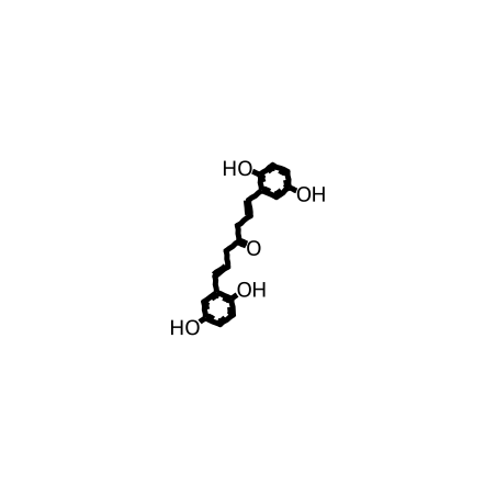 O=C(CC=Cc1cc(O)ccc1O)CC=Cc1cc(O)ccc1O